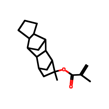 C=C(C)C(=O)OC1(C)CC2CC1C1C3CC(C4CCCC43)C21